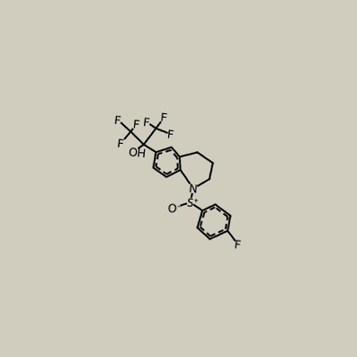 [O-][S+](c1ccc(F)cc1)N1CCCc2cc(C(O)(C(F)(F)F)C(F)(F)F)ccc21